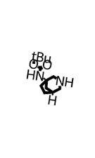 CC(C)(C)OC(=O)N[C@@]12CC[C@@H](CNC1)C2